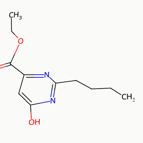 CCCCc1nc(O)cc(C(=O)OCC)n1